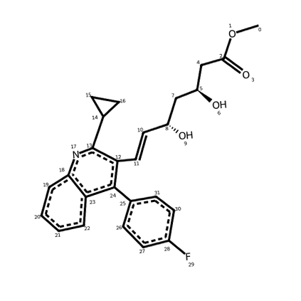 COC(=O)C[C@@H](O)C[C@H](O)/C=C/c1c(C2CC2)nc2ccccc2c1-c1ccc(F)cc1